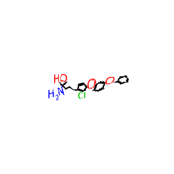 CC(N)(CO)CCCc1ccc(Oc2cccc(OCc3ccccc3)c2)cc1Cl